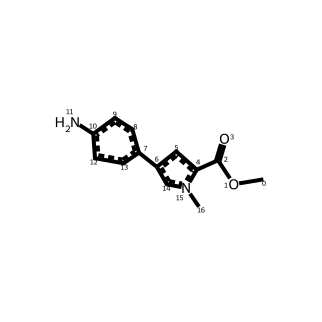 COC(=O)c1cc(-c2ccc(N)cc2)cn1C